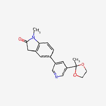 CN1C(=O)Cc2cc(-c3cncc(C4(C)OCCO4)c3)ccc21